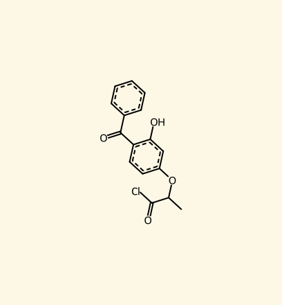 CC(Oc1ccc(C(=O)c2ccccc2)c(O)c1)C(=O)Cl